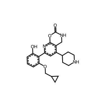 O=C1NCc2c(C3CCNCC3)cc(-c3c(O)cccc3OCC3CC3)nc2O1